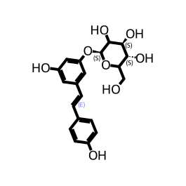 OCC1O[C@@H](Oc2cc(O)cc(/C=C/c3ccc(O)cc3)c2)C(O)[C@@H](O)[C@@H]1O